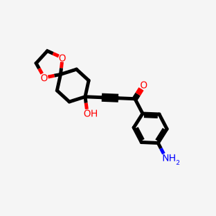 Nc1ccc(C(=O)C#CC2(O)CCC3(CC2)OCCO3)cc1